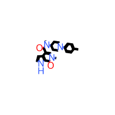 Cc1ccc(N2CCC(N(C)C(=O)c3cn(C)c(=O)c4[nH]ccc34)CC2)cc1